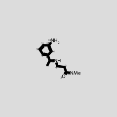 CNC(=O)CCNC(C)c1cccc(N)c1